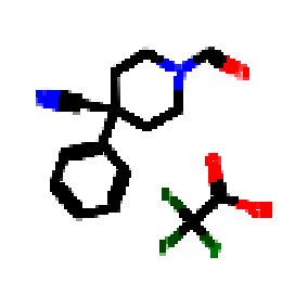 N#CC1(c2ccccc2)CCN(C=O)CC1.O=C(O)C(F)(F)F